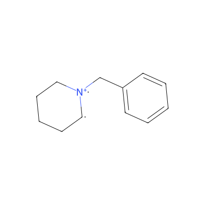 [CH]1CCCC[N+]1Cc1ccccc1